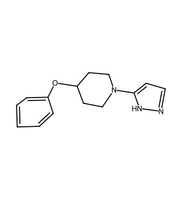 c1ccc(OC2CCN(c3ccn[nH]3)CC2)cc1